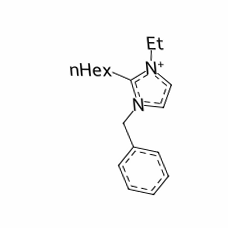 CCCCCCc1n(Cc2ccccc2)cc[n+]1CC